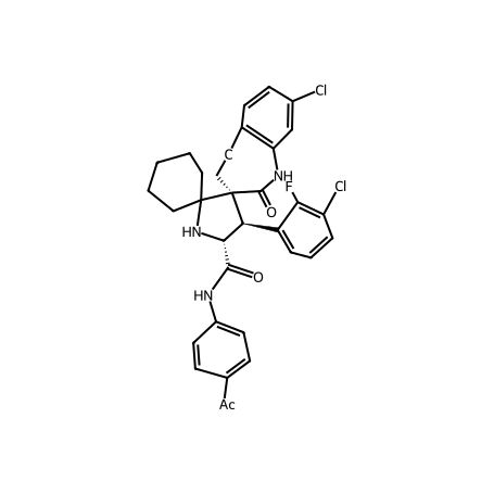 CC(=O)c1ccc(NC(=O)[C@@H]2NC3(CCCCC3)[C@]3(CCc4ccc(Cl)cc4NC3=O)[C@H]2c2cccc(Cl)c2F)cc1